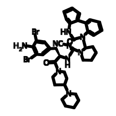 N#CN=C(N[C@H](Cc1cc(Br)c(N)c(Br)c1)C(=O)N1CCC(N2CCCCC2)CC1)N1CCCCC1N1C(=O)Nc2ccccc2-c2ccccc21